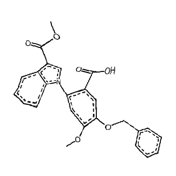 COC(=O)c1cn(-c2cc(OC)c(OCc3ccccc3)cc2C(=O)O)c2ccccc12